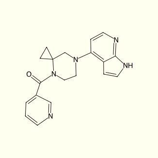 O=C(c1cccnc1)N1CCN(c2ccnc3[nH]ccc23)CC12CC2